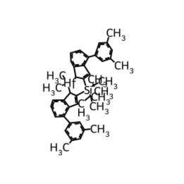 Cc1cc(C)cc(-c2cccc3c2C=C2[CH]3[Hf]([CH3])([CH3])[CH]3C(=Cc4c(-c5cc(C)cc(C)c5)cccc43)[Si]2(C(C)(C)C)C(C)(C)C)c1